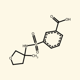 CC1(NS(=O)(=O)c2cccc(C(=O)O)c2)CCOC1